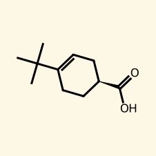 CC(C)(C)C1=CC[C@@H](C(=O)O)CC1